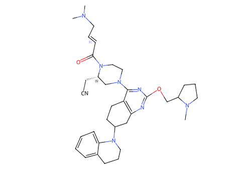 CN(C)C/C=C/C(=O)N1CCN(c2nc(OCC3CCCN3C)nc3c2CCC(N2CCCc4ccccc42)C3)C[C@@H]1CC#N